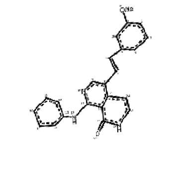 COc1cccc(C=Cc2cnc(Nc3ccccc3)c3c(=O)[nH]ccc23)c1